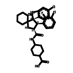 O=C(O)C1CCC(NC(=O)[C@@H]2NC3(CCCCC3)[C@@]3(C(=O)Nc4cc(Cl)ccc43)[C@H]2c2cccc(Cl)c2F)CC1